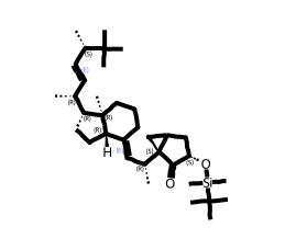 C[C@H](/C=C/[C@H](C)C(C)(C)C)[C@H]1CC[C@H]2/C(=C/[C@@H](C)[C@]34CC3C[C@H](O[Si](C)(C)C(C)(C)C)C4=O)CCC[C@]12C